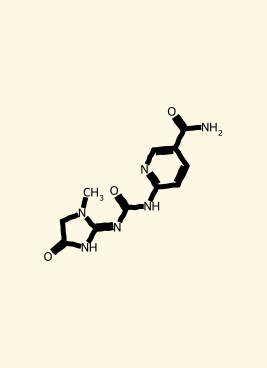 CN1CC(=O)NC1=NC(=O)Nc1ccc(C(N)=O)cn1